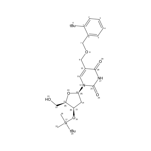 CC(C)(C)c1ccccc1COCc1cn([C@H]2C[C@@H](O[Si](C)(C)C(C)(C)C)[C@@H](CO)O2)c(=O)[nH]c1=O